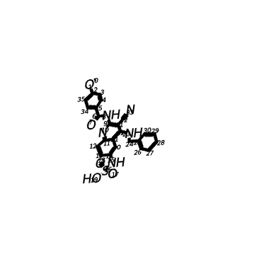 COc1ccc(C(=O)Nc2nc3ccc(NS(=O)(=O)O)cc3c(NCc3ccccc3)c2C#N)cc1